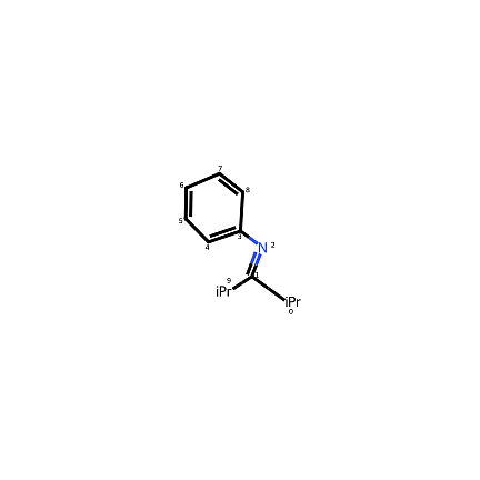 CC(C)C(=Nc1ccccc1)C(C)C